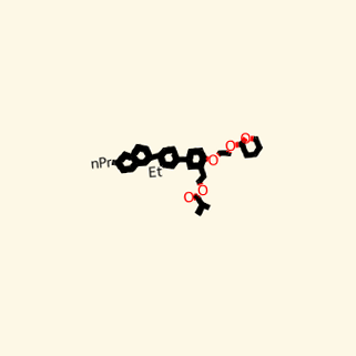 C=C(C)C(=O)OCCc1cc(-c2ccc(-c3ccc4cc(CCC)ccc4c3)c(CC)c2)ccc1OCCOC1CCCCO1